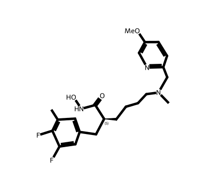 COc1ccc(CN(C)CCCC[C@@H](Cc2cc(C)c(F)c(F)c2)C(=O)NO)nc1